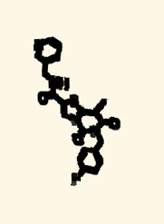 Cc1c(=O)n(Cc2ccc(F)cc2)c(=O)n2cc(C(=O)NCc3cccnc3)sc12